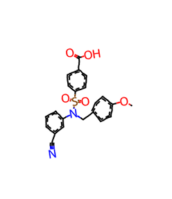 COc1ccc(CN(c2cccc(C#N)c2)S(=O)(=O)c2ccc(C(=O)O)cc2)cc1